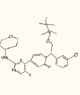 CC(C)(C)[Si](C)(C)OCC(c1cccc(Cl)c1)n1ccc(-c2nc(NC3CCOCC3)ncc2F)cc1=O